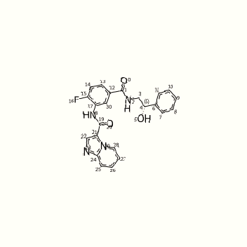 O=C(NC[C@@H](O)c1ccccc1)c1ccc(F)c(NC(=O)c2cnc3ccccn23)c1